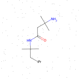 CC(C)CC(C)(C)NC(=O)CC(C)(C)N